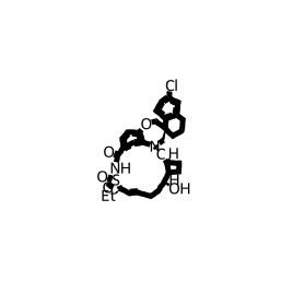 CC[C@H]1/C=C/CC[C@H](O)[C@@H]2CC[C@H]2CN2C[C@@]3(CCCc4cc(Cl)ccc43)COc3ccc(cc32)C(=O)NS1(=O)=O